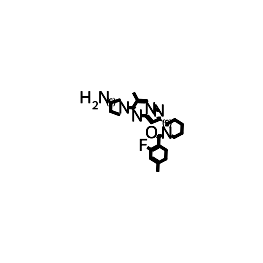 CC1=CC(F)=C(C(=O)N2CCCC[C@H]2c2cc3nc(N4CC[C@H](N)C4)c(C)cn3n2)CC1